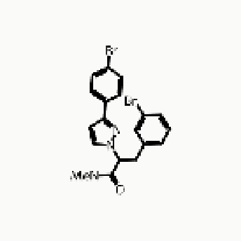 CNC(=O)C(Cc1cccc(Br)c1)n1ccc(-c2ccc(Br)cc2)n1